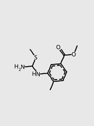 COC(=O)c1ccc(C)c(NC(N)SC)c1